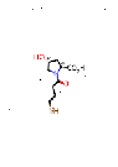 O=C(O)[C@@H]1C[C@@H](O)CN1C(=O)CCCS